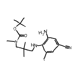 CN(CC(C)(C)CNc1c(N)cc(C#N)cc1I)C(=O)OC(C)(C)C